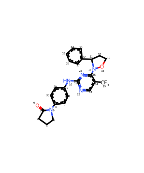 O=C1CCCN1c1ccc(Nc2ncc(C(F)(F)F)c(N3OCCC3c3ccccc3)n2)cc1